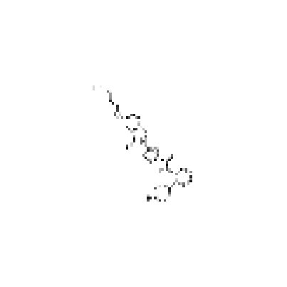 O=C(Nc1cnccc1N1CCNCC1)c1csc(N2Cc3ccc(OCCCO)cc3C2=O)n1